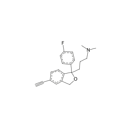 C#Cc1ccc2c(c1)COC2(CCCN(C)C)c1ccc(F)cc1